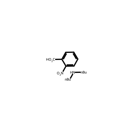 CCCCNCCCC.O=C(O)c1ccccc1[N+](=O)[O-]